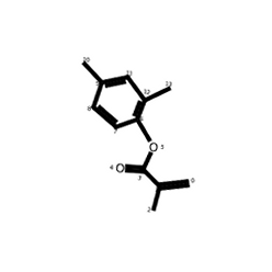 C=C(C)C(=O)Oc1ccc(C)cc1C